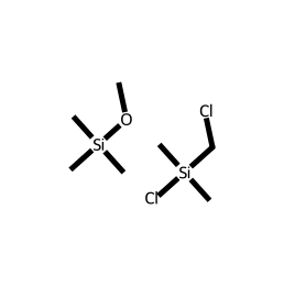 CO[Si](C)(C)C.C[Si](C)(Cl)CCl